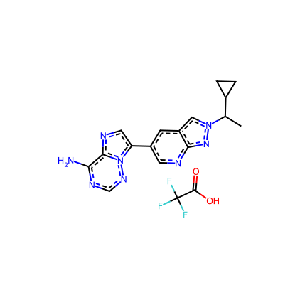 CC(C1CC1)n1cc2cc(-c3cnc4c(N)ncnn34)cnc2n1.O=C(O)C(F)(F)F